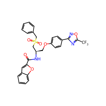 O=C(N[C@H](COc1ccc(-c2noc(C(F)(F)F)n2)cc1)CS(=O)(=O)Cc1ccccc1)c1cc2ccccc2o1